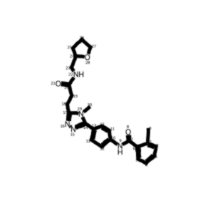 Cc1ccccc1C(=O)Nc1ccc(-c2nnc(CCC(=O)NCC3CCCO3)n2C)cc1